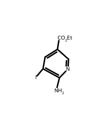 CCOC(=O)c1cnc(N)c(I)c1